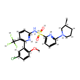 COc1ccc(Cl)cc1-c1nc(NS(=O)(=O)c2cccc(N3CCC[C@H](C)C3)n2)ccc1C(F)(F)F